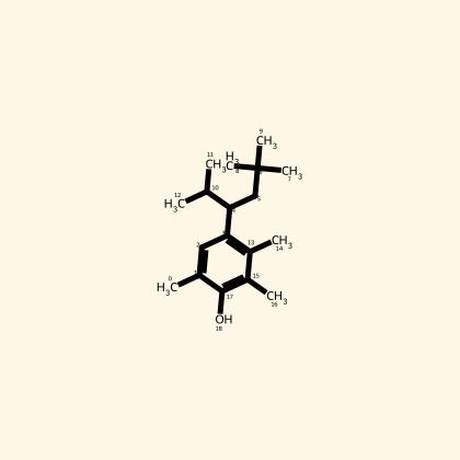 Cc1cc(C(CC(C)(C)C)C(C)C)c(C)c(C)c1O